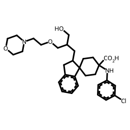 O=C(O)C1(Nc2cccc(Cl)c2)CCC2(CC1)c1ccccc1CC2CC(CO)COCCN1CCOCC1